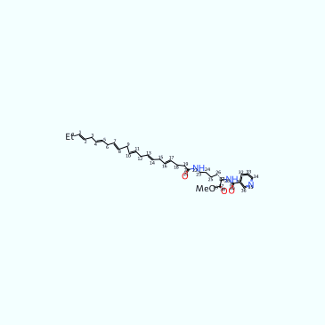 CCC=CCC=CCC=CCC=CCC=CCC=CCCC(=O)NCCCC[C@H](NC(=O)c1cccnc1)C(=O)OC